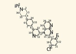 CC(C)N1CCC(c2ccc(-c3cncc(-c4cc(-c5cc(Cl)ccc5F)nc5ncccc45)c3)cc2)CC1